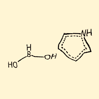 OBO.c1cc[nH]c1